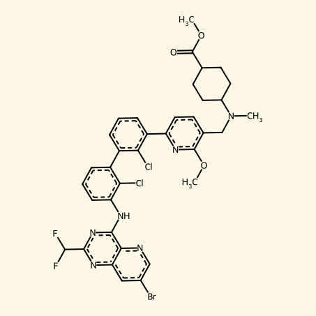 COC(=O)C1CCC(N(C)Cc2ccc(-c3cccc(-c4cccc(Nc5nc(C(F)F)nc6cc(Br)cnc56)c4Cl)c3Cl)nc2OC)CC1